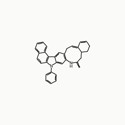 C=C1CC2CCC=C/C2=C/Cc2cc3c4c5ccccc5ccc4n(-c4ccccc4)c3cc2N1